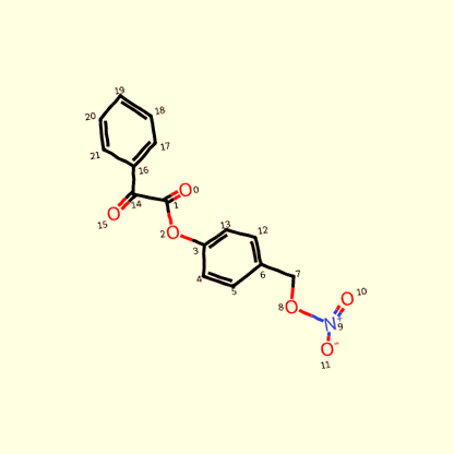 O=C(Oc1ccc(CO[N+](=O)[O-])cc1)C(=O)c1ccccc1